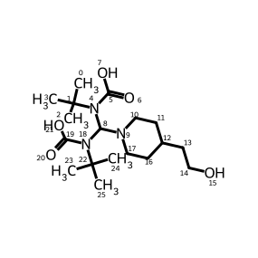 CC(C)(C)N(C(=O)O)C(N1CCC(CCO)CC1)N(C(=O)O)C(C)(C)C